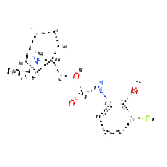 O=C(Nc1cccc(F)c1Br)OCC12CCCC(CC1)N2C(=O)O